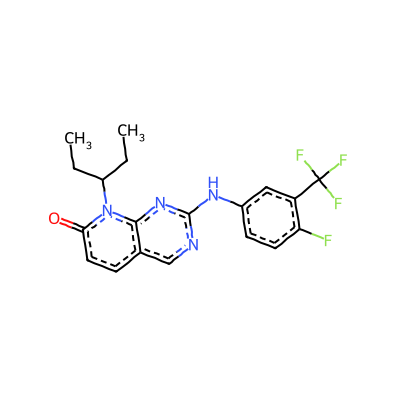 CCC(CC)n1c(=O)ccc2cnc(Nc3ccc(F)c(C(F)(F)F)c3)nc21